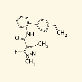 C=Cc1ccc(-c2ccccc2NC(=O)c2c(C)nn(C)c2F)cc1